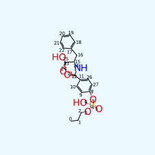 CCCOP(=O)(O)Oc1ccc(C(=O)NC(Cc2ccccc2)C(=O)O)cc1